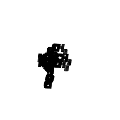 CCOc1cc2ncnc(N3CCN(Cc4ccc(Cl)cc4)CC3)c2c(OCC)c1OCC